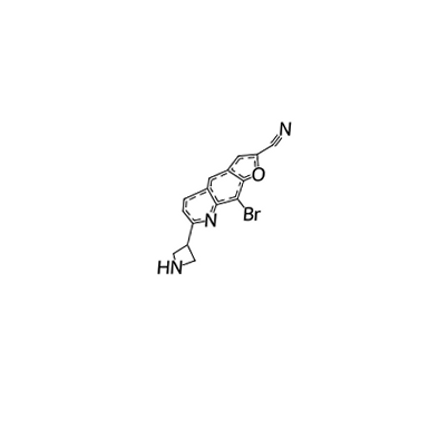 N#Cc1cc2cc3ccc(C4CNC4)nc3c(Br)c2o1